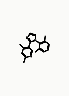 Cc1cc(C)c(-c2nccn2-c2c(C)cccc2C)cn1